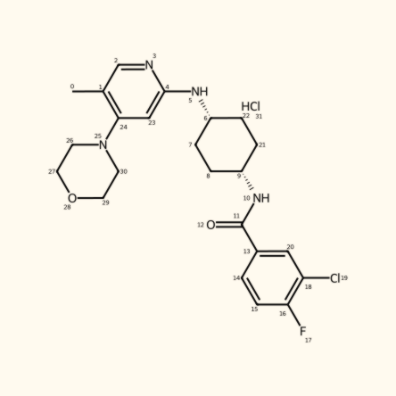 Cc1cnc(N[C@H]2CC[C@@H](NC(=O)c3ccc(F)c(Cl)c3)CC2)cc1N1CCOCC1.Cl